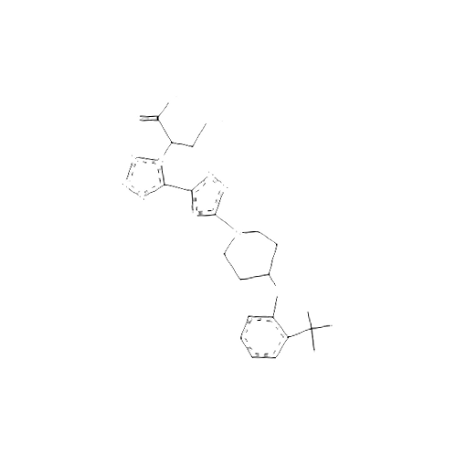 CCC(C(=O)O)n1nnnc1-c1nnc(N2CCC(Oc3ccccc3C(F)(F)F)CC2)s1